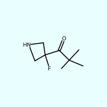 CC(C)(C)C(=O)C1(F)CNC1